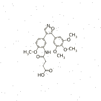 COc1ccc(-c2cnoc2-c2cc(OC)c(OC)c(OC)c2)cc1NC(=O)CCC(=O)O